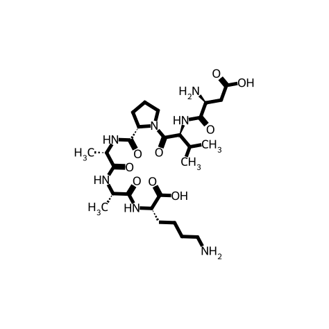 CC(C)[C@H](NC(=O)[C@@H](N)CC(=O)O)C(=O)N1CCC[C@H]1C(=O)N[C@@H](C)C(=O)N[C@@H](C)C(=O)N[C@@H](CCCCN)C(=O)O